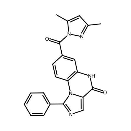 Cc1cc(C)n(C(=O)c2ccc3c(c2)[nH]c(=O)c2cnc(-c4ccccc4)n23)n1